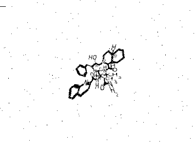 CC(C)(C)NC(=O)C1[C@H]2CCCC[C@H]2CCN1C[C@@H](O)[C@H](Cc1ccccc1)NC(=O)[C@H](CC(N)=O)NC(=O)c1ccc2ccccc2n1